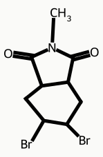 CN1C(=O)C2CC(Br)C(Br)CC2C1=O